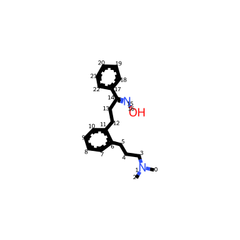 CN(C)CCCc1ccccc1CCC(=NO)c1ccccc1